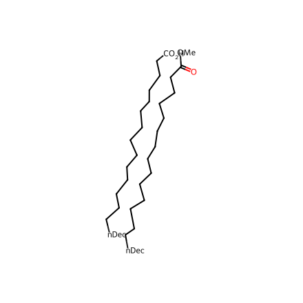 CCCCCCCCCCCCCCCCCCCCCCCC(=O)O.CCCCCCCCCCCCCCCCCCCCCCCC(=O)OC